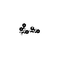 COC(=O)[C@H](Cc1ccc(OCCCN(Cc2ccccc2)C(=O)c2cccnc2)cc1)Nc1ccccc1C(=O)c1ccccc1